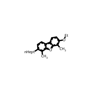 CCCCCCCc1ccc2c(oc3c(C)c(OCC)ccc32)c1C